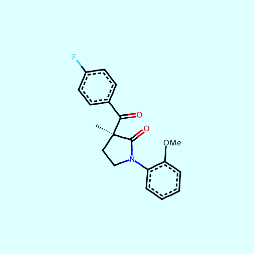 COc1ccccc1N1CC[C@@](C)(C(=O)c2ccc(F)cc2)C1=O